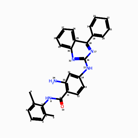 Cc1cccc(C)c1NC(=O)c1ccc(Nc2nc(-c3ccccc3)c3ccccc3n2)cc1N